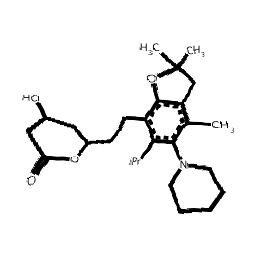 Cc1c2c(c(CCC3CC(O)CC(=O)O3)c(C(C)C)c1N1CCCCC1)OC(C)(C)C2